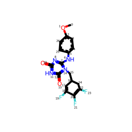 COc1ccc(Nc2nc(=O)[nH]c(=O)n2CC2C=C(F)C(F)=C(F)C2)cc1